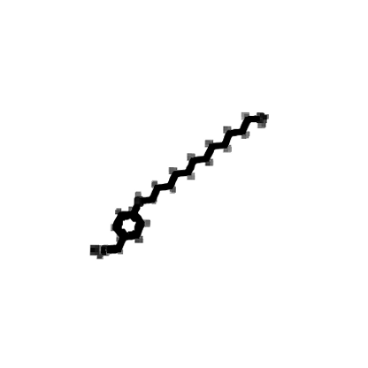 C=Cc1ccc(OCCCCCCCCCCCCBr)cc1